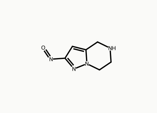 O=Nc1cc2n(n1)CCNC2